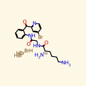 Br.Br.Br.NCCCC[C@H](N)C(=O)NCC(=O)Nc1ccccc1C(=O)c1cc(Br)ccn1